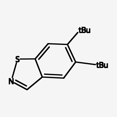 CC(C)(C)c1cc2cnsc2cc1C(C)(C)C